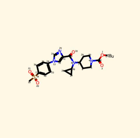 CC(C)(C)OC(=O)N1CCC(N(C(=O)c2cn(-c3ccc(S(C)(=O)=O)cc3)cn2)C2CC2)CC1